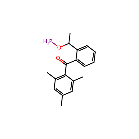 Cc1cc(C)c(C(=O)c2ccccc2C(C)OP)c(C)c1